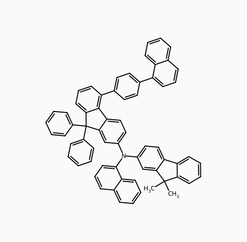 CC1(C)c2ccccc2-c2ccc(N(c3ccc4c(c3)C(c3ccccc3)(c3ccccc3)c3cccc(-c5ccc(-c6cccc7ccccc67)cc5)c3-4)c3cccc4ccccc34)cc21